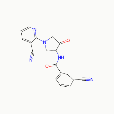 N#Cc1cccnc1N1CC(=O)C(NC(=O)C2=CC=CC(C#N)C2)C1